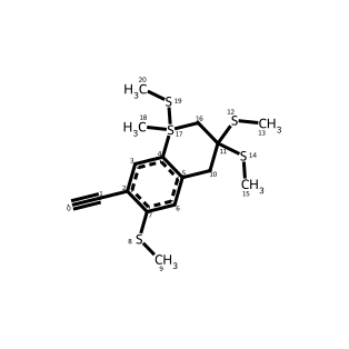 [C]#Cc1cc2c(cc1SC)CC(SC)(SC)CS2(C)SC